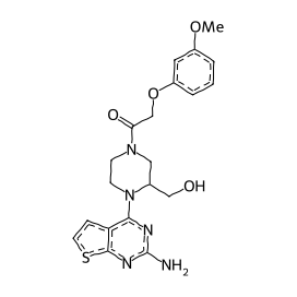 COc1cccc(OCC(=O)N2CCN(c3nc(N)nc4sccc34)C(CO)C2)c1